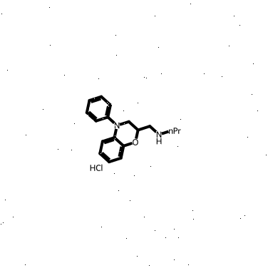 CCCNCC1CN(c2ccccc2)c2ccccc2O1.Cl